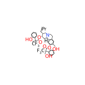 CC(C)C[C@H]1CN2CCc3cc(CO)c(OC(=O)[C@](CO)(c4ccccc4)C(F)(F)F)cc3[C@H]2C[C@@H]1OC(=O)[C@](CO)(c1ccccc1)C(F)(F)F